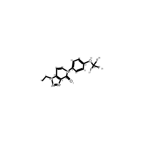 CCn1nnc2c(=O)n(-c3ccc(OC(F)(F)F)cc3)ccc21